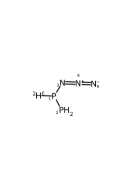 [2H]P(P)N=[N+]=[N-]